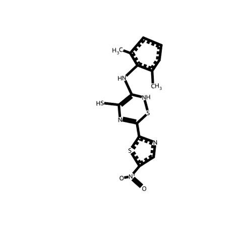 Cc1cccc(C)c1NC1=C(S)N=C(c2ncc([N+](=O)[O-])s2)SN1